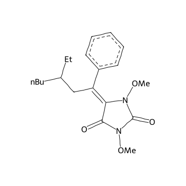 CCCCC(CC)CC(=C1C(=O)N(OC)C(=O)N1OC)c1ccccc1